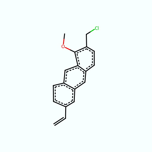 C=Cc1ccc2cc3c(OC)c(CCl)ccc3cc2c1